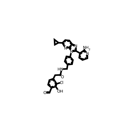 Nc1ncccc1-c1nc2ccc(C3CC3)nc2n1-c1ccc(CNC(=O)Cc2ccc(C=O)c(O)c2Cl)cc1